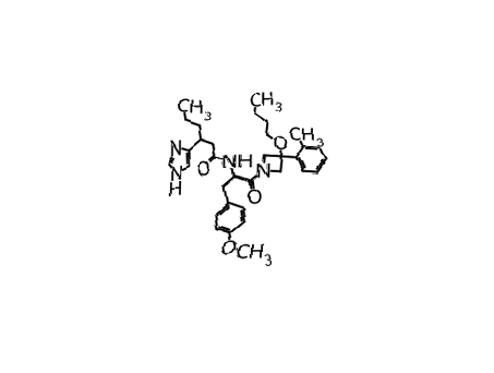 CCCCOC1(c2ccccc2C)CN(C(=O)C(Cc2ccc(OC)cc2)NC(=O)CC(CCC)c2c[nH]cn2)C1